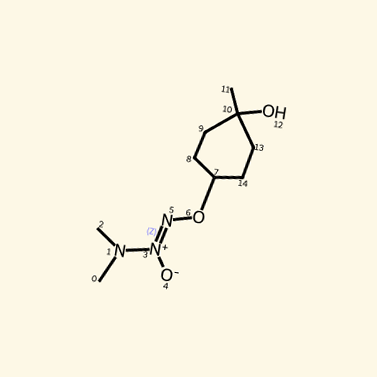 CN(C)/[N+]([O-])=N/OC1CCC(C)(O)CC1